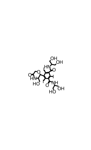 O=C1COC(c2c(I)c(C(=O)NC(CO)CO)c(I)c(C(=O)NC(CO)CO)c2I)C(CO)N1